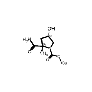 CC(C)(C)OC(=O)N1C[C@@H](O)C[C@@]1(C)C(N)=O